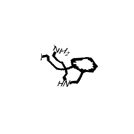 NCCC1(CCI)CNCc2ccccc21